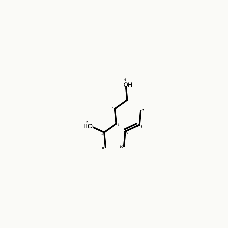 CC(O)CCCO.CC=CC